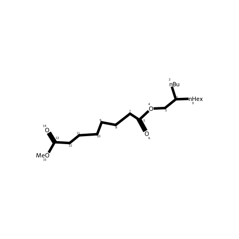 CCCCCCC(CCCC)COC(=O)CCCCCCC(=O)OC